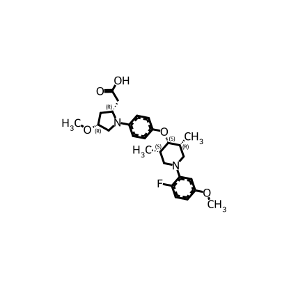 COc1ccc(F)c(N2C[C@@H](C)[C@@H](Oc3ccc(N4C[C@H](OC)C[C@@H]4CC(=O)O)cc3)[C@@H](C)C2)c1